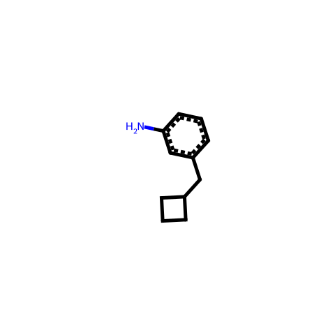 Nc1cccc(CC2CCC2)c1